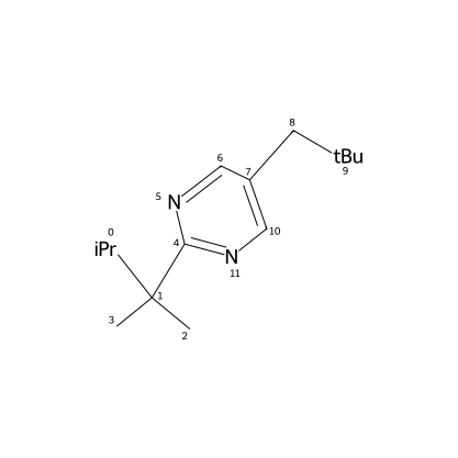 CC(C)C(C)(C)c1ncc(CC(C)(C)C)cn1